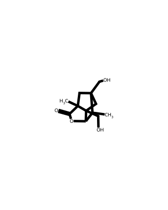 CC1C2OC(=O)C3(C)CC1(CO)CC23CO